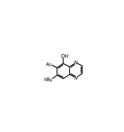 CCCCc1cc2nccnc2c(O)c1C(C)=O